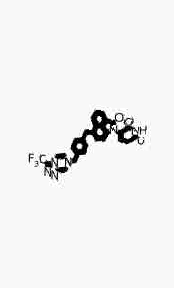 O=C1CCC(N2C(=O)c3cccc4c(Cc5ccc(CN6CCn7c(nnc7C(F)(F)F)C6)cc5)ccc2c34)C(=O)N1